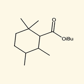 CC(C)COC(=O)C1C(C)C(C)CCC1(C)C